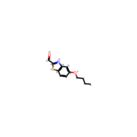 CCCCOc1ccc2sc(C=O)nc2c1